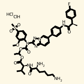 COc1cc(S(C)(=O)=O)ccc1N(C(=O)OC(C)OC(=O)[C@@H](NC(=O)[C@@H](N)CCCCN)C(C)C)c1nc2ccc(-c3ccc(NC(=O)[C@H](C)c4ccc(F)cc4)cc3)cn2n1.Cl.Cl